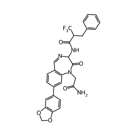 NC(=O)CN1C(=O)C(NC(=O)C(Cc2ccccc2)C(F)(F)F)N=Cc2ccc(-c3ccc4c(c3)OCO4)cc21